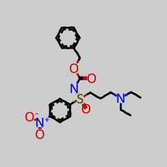 CCN(CC)CCCS(=O)(=NC(=O)OCc1ccccc1)c1ccc([N+](=O)[O-])cc1